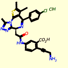 Cc1sc2c(c1C)C(c1ccc(Cl)cc1)=N[C@@H](CC(=O)Nc1ccc(C#CCN)c(C(=O)O)c1)c1nnc(C)n1-2.Cl